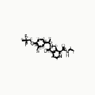 CCNC(=O)c1nccc2c1CN(C(C)c1ccc(OCC(C)(F)F)c(C)c1)C2=O